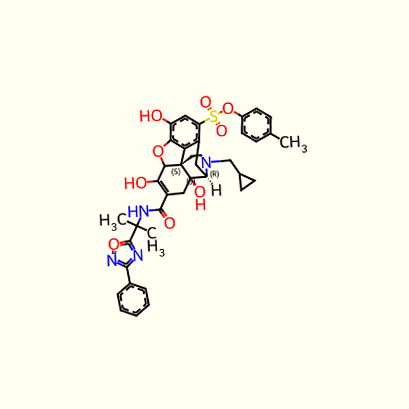 Cc1ccc(OS(=O)(=O)c2cc(O)c3c4c2C[C@H]2N(CC5CC5)CC[C@@]45C(O3)C(O)=C(C(=O)NC(C)(C)c3nc(-c4ccccc4)no3)C[C@@]25O)cc1